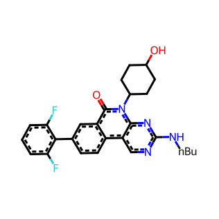 CCCCNc1ncc2c3ccc(-c4c(F)cccc4F)cc3c(=O)n(C3CCC(O)CC3)c2n1